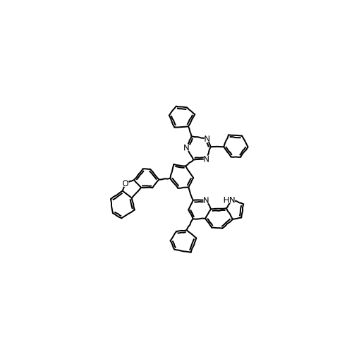 c1ccc(-c2nc(-c3ccccc3)nc(-c3cc(-c4ccc5oc6ccccc6c5c4)cc(-c4cc(-c5ccccc5)c5ccc6cc[nH]c6c5n4)c3)n2)cc1